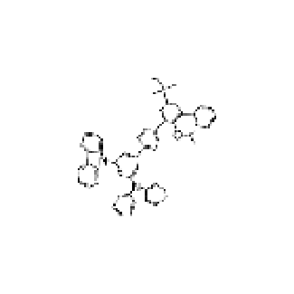 CCC(C)(C)c1cc(-c2ccccc2)c(OC(C)C)c(-c2ccc(-c3cc(-n4c5ccccc5c5ccccc54)cc(-n4c5ccccc5c5ccccc54)c3)cc2)c1